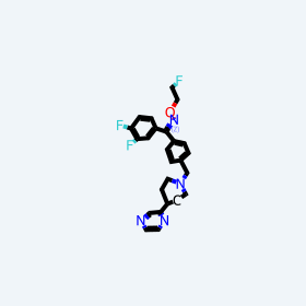 FCCO/N=C(/c1ccc(CN2CCC(c3cnccn3)CC2)cc1)c1ccc(F)c(F)c1